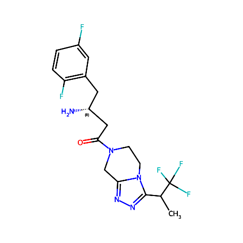 CC(c1nnc2n1CCN(C(=O)C[C@H](N)Cc1cc(F)ccc1F)C2)C(F)(F)F